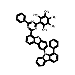 Oc1c(O)c(O)c(-c2nc(-c3ccccc3)nc(-c3cccc4c3sc3ccc(-n5c6ccccc6c6cccc(-c7ccccc7)c65)cc34)n2)c(O)c1O